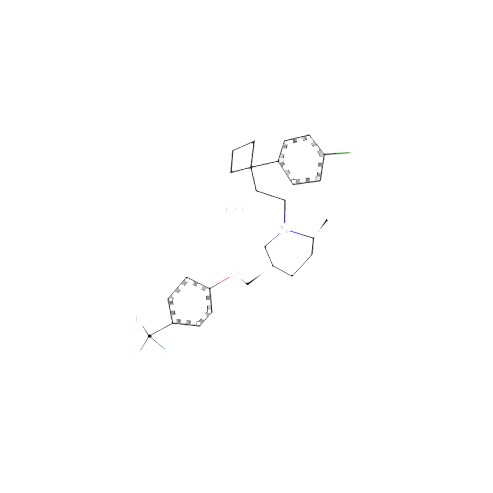 C[C@H]1CC[C@@H](COc2ccc(C(F)(F)F)cc2)CN1C[C@H](O)C1(c2ccc(Cl)cc2)CCC1